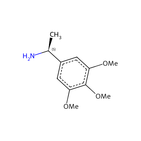 COc1cc([C@H](C)N)cc(OC)c1OC